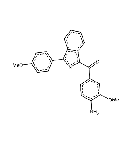 COc1ccc(-c2nc(C(=O)c3ccc(N)c(OC)c3)n3ccccc23)cc1